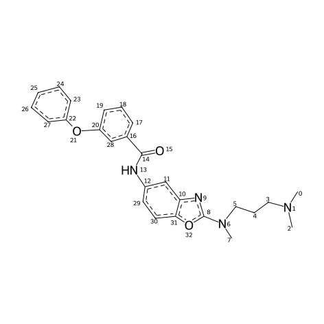 CN(C)CCCN(C)c1nc2cc(NC(=O)c3cccc(Oc4ccccc4)c3)ccc2o1